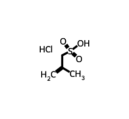 C=C(C)CS(=O)(=O)O.Cl